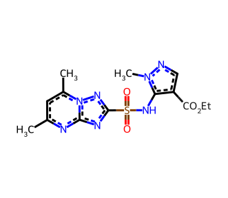 CCOC(=O)c1cnn(C)c1NS(=O)(=O)c1nc2nc(C)cc(C)n2n1